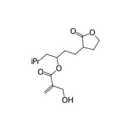 C=C(CO)C(=O)OC(CCC1CCOC1=O)CC(C)C